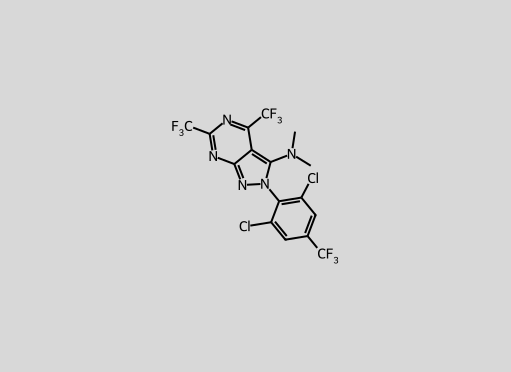 CN(C)c1c2c(C(F)(F)F)nc(C(F)(F)F)nc2nn1-c1c(Cl)cc(C(F)(F)F)cc1Cl